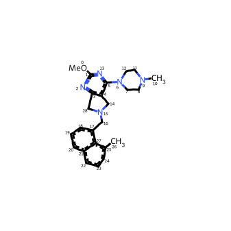 COc1nc2c(c(N3CCN(C)CC3)n1)CN(Cc1cccc3cccc(C)c13)C2